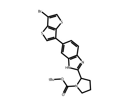 CC(C)(C)OC(=O)N1CCCC1c1nc2ccc(-c3csc4c(Br)csc34)cc2[nH]1